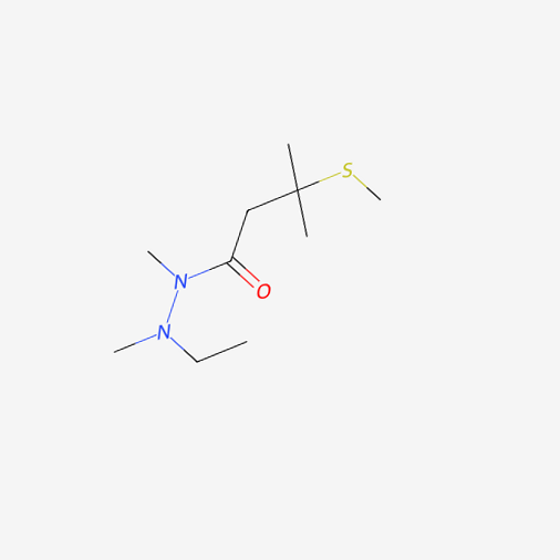 CCN(C)N(C)C(=O)CC(C)(C)SC